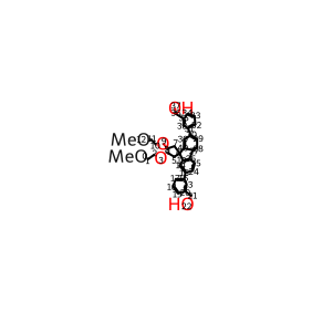 COCCOCCC1(CCOCCOC)c2cc(-c3cccc(CO)c3)ccc2-c2ccc(-c3cccc(CO)c3)cc21